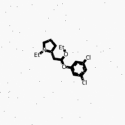 CCOC(CC1CCCN1CC)Oc1cc(Cl)cc(Cl)c1